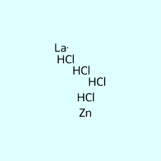 Cl.Cl.Cl.Cl.[La].[Zn]